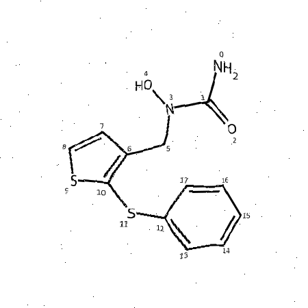 NC(=O)N(O)Cc1ccsc1Sc1ccccc1